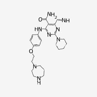 N=Cc1nc(N2CCCCC2)nc(Nc2ccc(OCCN3CCCNCC3)cc2)c1C(N)=O